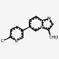 O=Cc1cnc2ccc(-c3ccc(Cl)nc3)cn12